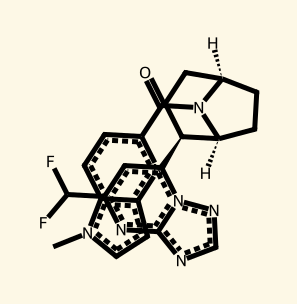 Cn1ccc2nc(C(=O)N3[C@H]4CC[C@H](c5cc(C(F)F)nc6ncnn56)[C@@H]3CC4)ccc21